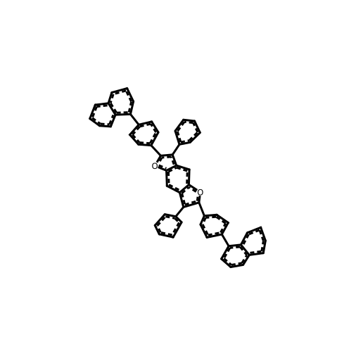 c1ccc(-c2c(-c3ccc(-c4cccc5ccccc45)cc3)oc3cc4c(-c5ccccc5)c(-c5ccc(-c6cccc7ccccc67)cc5)oc4cc23)cc1